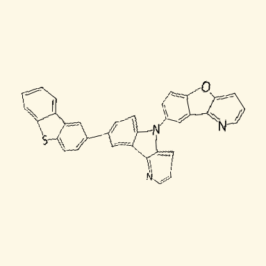 c1cnc2c(c1)oc1ccc(-n3c4ccc(-c5ccc6sc7ccccc7c6c5)cc4c4ncccc43)cc12